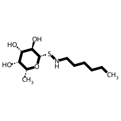 CCCCCCNS[C@@H]1O[C@H](C)[C@H](O)[C@H](O)[C@H]1O